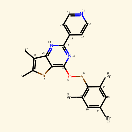 Cc1sc2c(OSc3c(C(C)C)cc(C(C)C)cc3C(C)C)nc(-c3ccncc3)nc2c1C